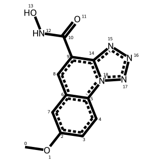 COc1ccc2c(c1)cc(C(=O)NO)c1nnnn12